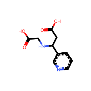 O=C(O)CNC(CC(=O)O)c1cccnc1